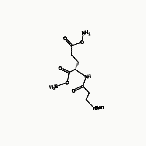 CCCCCCCCCCCC(=O)N[C@@H](CCC(=O)ON)C(=O)ON